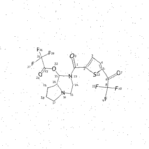 O=C(c1ccc(C(=O)C(F)(F)F)s1)N1CCN2CCCC2C1OC(=O)C(F)(F)F